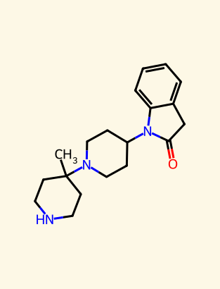 CC1(N2CCC(N3C(=O)Cc4ccccc43)CC2)CCNCC1